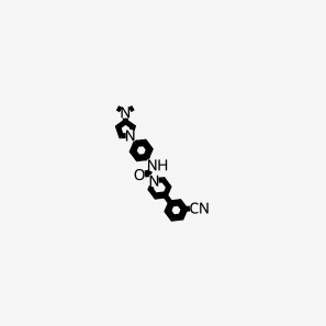 CN(C)C1CCN(c2ccc(NC(=O)N3CC=C(c4cccc(C#N)c4)CC3)cc2)C1